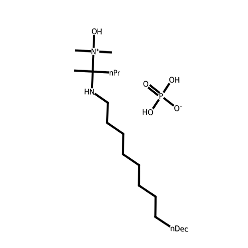 CCCCCCCCCCCCCCCCCCNC(C)(CCC)[N+](C)(C)O.O=P([O-])(O)O